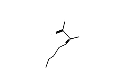 CCCCC=C(C)C(=O)O.F